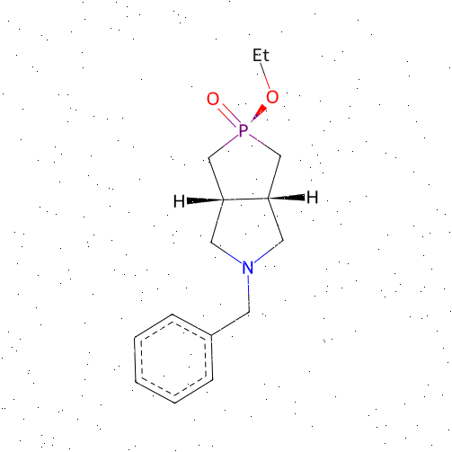 CCO[P@]1(=O)C[C@H]2CN(Cc3ccccc3)C[C@H]2C1